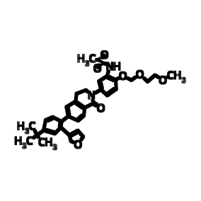 COCCOCOc1ccc(N2CCc3cc(-c4ccc(C(C)(C)C)cc4C4=CCOC4)ccc3C2=O)cc1NS(C)(=O)=O